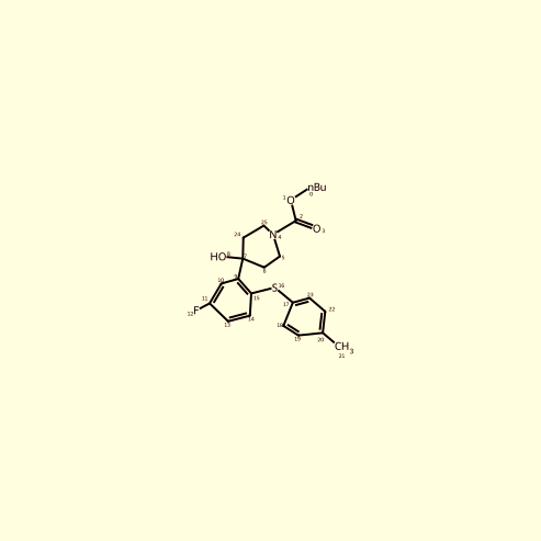 CCCCOC(=O)N1CCC(O)(c2cc(F)ccc2Sc2ccc(C)cc2)CC1